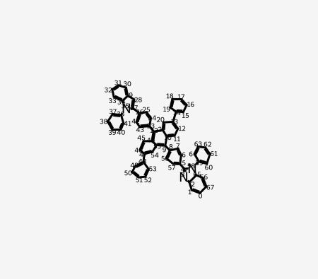 C1=CC2N=C(c3ccc(-c4c5ccc(-c6ccccc6)cc5c(-c5ccc(-c6cc7ccccc7n6-c6ccccc6)cc5)c5ccc(-c6ccccc6)cc45)cc3)N(c3ccccc3)C2C=C1